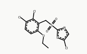 CCOc1ccc(Cl)c(Cl)c1CS(=O)(=O)c1ncc(Cl)s1